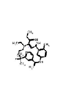 C=C(Nc1ccc(C)c(C(=N)/C=C(\C(=N)CC)N(CC)CCC)c1)c1ccnc(C(C)(C)F)c1